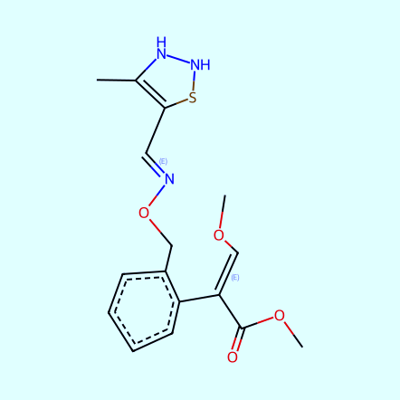 CO/C=C(/C(=O)OC)c1ccccc1CO/N=C/C1=C(C)NNS1